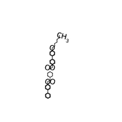 CCCCCCOc1ccc(-c2ccc(OC(=O)[C@H]3CC[C@H](C(=O)Oc4ccc(-c5ccccc5)cc4)CC3)cc2)cc1